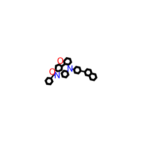 c1ccc(-c2nc3cc4c(cc3o2)oc2cccc(N(c3ccccc3)c3ccc(-c5ccc6ccccc6c5)cc3)c24)cc1